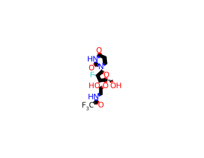 O=C(NCCO[C@]1(CO)O[C@@H](n2ccc(=O)[nH]c2=O)[C@@H](F)[C@@H]1O)C(F)(F)F